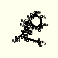 C=C(CBr)C(=O)NCCCCCC(=O)N[C@H](C(=O)N[C@@H](CCCNC(N)=O)C(=O)Nc1ccc(C(=O)N(C)[C@@H](C)C(=O)O[C@H]2CCN(C)c3cc(cc(OC)c3Cl)C/C(C)=C/C=C/[C@@H](OC)[C@@]3(O)C[C@H](OC(=O)N3)[C@@H](C)[C@@H]3O[C@@]23C)cc1N1CCOCC1)C(C)C